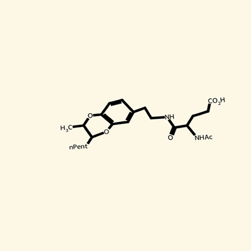 CCCCCC1Oc2cc(CCNC(=O)C(CCC(=O)O)NC(C)=O)ccc2OC1C